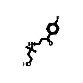 CC(C)(CCO)NCCC(=O)c1ccc(F)cc1